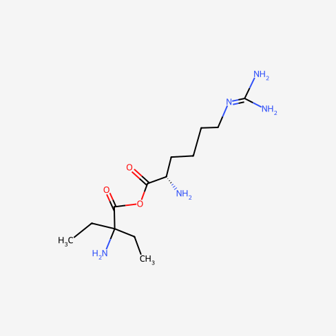 CCC(N)(CC)C(=O)OC(=O)[C@@H](N)CCCCN=C(N)N